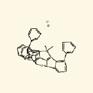 C[Si]1(C)C2=C(c3ccccc3)[CH]([Zr+2][CH]3C(c4ccccc4)=C1c1c(-c4ccccc4)cccc13)c1cccc(-c3ccccc3)c12.[Cl-].[Cl-]